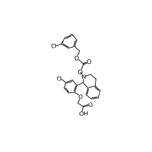 O=C(O)COc1ccc(Cl)cc1C1c2ccccc2CCN1OC(=O)OCc1cccc(Cl)c1